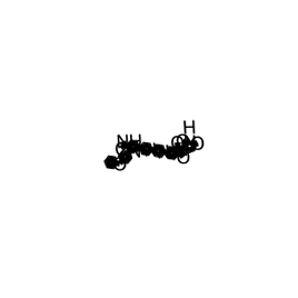 NC(=O)c1ccc(C2CCN(C3CCN(c4ccc5c(c4)C(=O)N(C4CCC(=O)NC4=O)C5=O)CC3)CC2)nc1-c1ccc(Oc2ccccc2)cc1